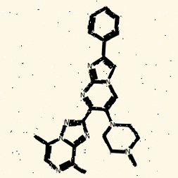 Cc1ncc(C)n2nc(-c3nc4nc(-c5ccccc5)cn4cc3N3CCN(C)CC3)nc12